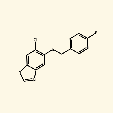 Fc1ccc(CSc2cc3nc[nH]c3cc2Cl)cc1